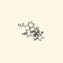 CCc1cccc(C(=O)N[C@@H]2C[C@H]3CC[C@@H](C2)N3S(=O)(=O)CC2CCNCC2)c1